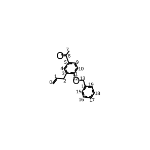 C=CCc1cc(C(C)=O)ccc1OCc1ccccc1